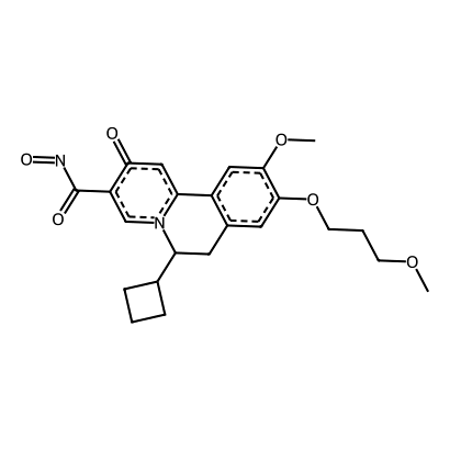 COCCCOc1cc2c(cc1OC)-c1cc(=O)c(C(=O)N=O)cn1C(C1CCC1)C2